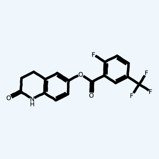 O=C1CCc2cc(OC(=O)c3cc(C(F)(F)F)ccc3F)ccc2N1